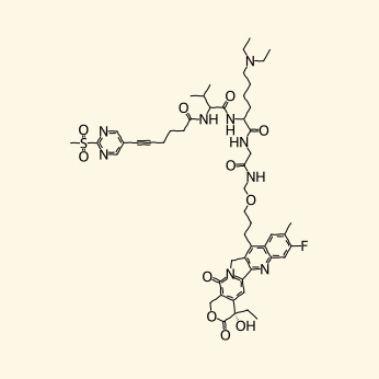 CCN(CC)CCCCC(NC(=O)C(NC(=O)CCCC#Cc1cnc(S(C)(=O)=O)nc1)C(C)C)C(=O)NCC(=O)NCOCCCc1c2c(nc3cc(F)c(C)cc13)-c1cc3c(c(=O)n1C2)COC(=O)[C@]3(O)CC